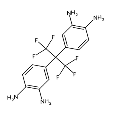 Nc1ccc(C(c2ccc(N)c(N)c2)(C(F)(F)F)C(F)(F)F)cc1N